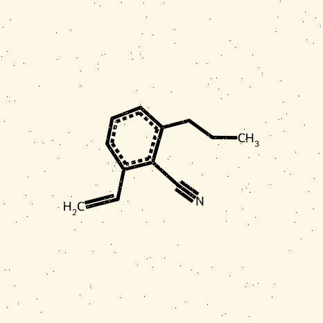 C=Cc1cccc(CCC)c1C#N